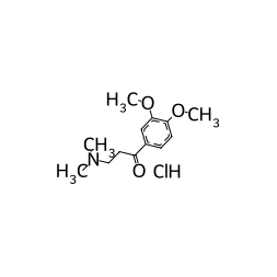 COc1ccc(C(=O)CCN(C)C)cc1OC.Cl